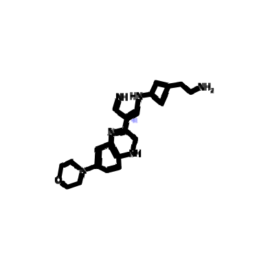 N=C/C(=C\NC1CC(CCN)C1)C1=Nc2cc(N3CCOCC3)ccc2NC1